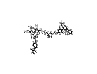 Cc1ncsc1-c1ccc(CNC(=O)[C@@H]2C[C@@H](O)CN2C(=O)[C@@H](NC(=O)COCCCC(O)CCCOc2cc(F)c(C3c4[nH]c5ccccc5c4C[C@@H](C)N3CC(C)(C)F)c(F)c2)C(C)(C)C)cc1